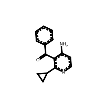 Nc1ccnc(C2CC2)c1C(=O)c1ccccc1